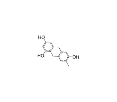 Cc1cc(Cc2ccc(O)cc2O)c(C)cc1O